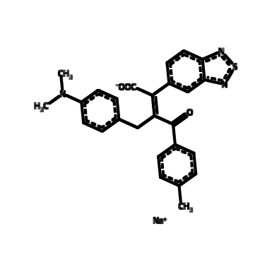 Cc1ccc(C(=O)C(Cc2ccc(N(C)C)cc2)=C(C(=O)[O-])c2ccc3nsnc3c2)cc1.[Na+]